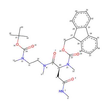 CNC(=O)C[C@@H](C(=O)N(C)CCN(C)C(=O)OC(C)(C)C)N(C)C(=O)OCC1c2ccccc2-c2ccccc21